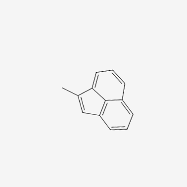 CC1=Cc2cccc3cccc1c23